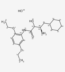 CCOc1ccc(OCC)c(NC(=O)C(O)[C@H](N)CC2CCCCC2)c1.Cl